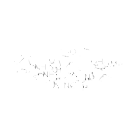 C=CCOc1c(C)c2c(c3c1CC1C4c5c(cc(C)c(OC)c5O)C[C@H]([C@H](C#N)N1[C@H]3CNC(=O)C(C)NC(=S)Nc1ccccc1)N4C)OCO2